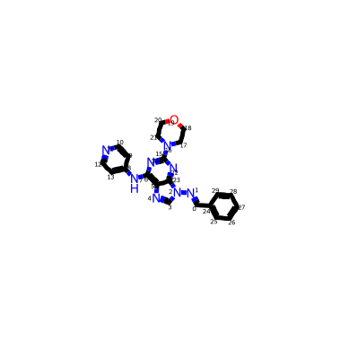 C(=Nn1cnc2c(Nc3ccncc3)nc(N3CCOCC3)nc21)c1ccccc1